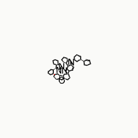 c1ccc(-c2cccc(-n3c4ccccc4c4c3ccc3c5ccc6oc7ccccc7c6c5n(-c5nc(-c6ccccc6)c6ccccc6n5)c34)c2)cc1